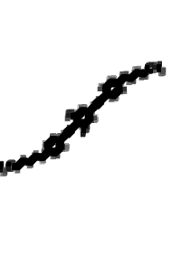 CCCCCCc1ccc(C#Cc2c(F)cc(C#Cc3ccc(CCCCC)cc3)cc2F)cc1